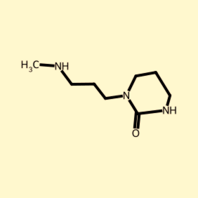 CNCCCN1CCCNC1=O